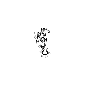 Nc1nc2nc(CC(=O)c3ccccc3)[nH]c2c(=O)[nH]1